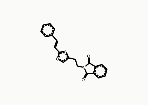 O=C1c2ccccc2C(=O)N1CCc1coc(C=Cc2ccccc2)n1